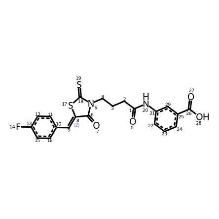 O=C(CCCN1C(=O)/C(=C/c2ccc(F)cc2)SC1=S)Nc1cccc(C(=O)O)c1